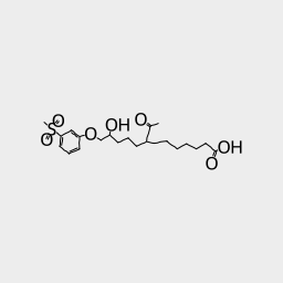 CC(=O)C(CCCCCCC(=O)O)CCCC(O)COc1cccc(S(C)(=O)=O)c1